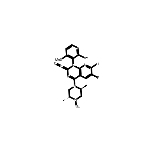 CSc1ccnc(C(C)C)c1N1C(=C=O)N=C(N2C[C@@H](C)N(C(C)(C)C)C[C@@H]2C)c2cc(F)c(Cl)nc21